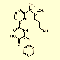 C[C@H](CCCN)[C@H](C)C(=O)N[C@@H](CO)C(=O)N[C@@H](Cc1ccccc1)C(=O)O